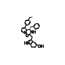 CCc1ccc(-c2cccnc2[C@H](Cc2ccccc2)NC(=O)Cc2c[nH]c3ccc(O)cc23)cc1